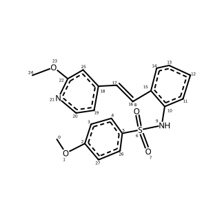 COc1ccc(S(=O)(=O)Nc2ccccc2C=Cc2ccnc(OC)c2)cc1